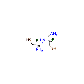 NC[C@](F)(CS)NC[C@](N)(F)CS